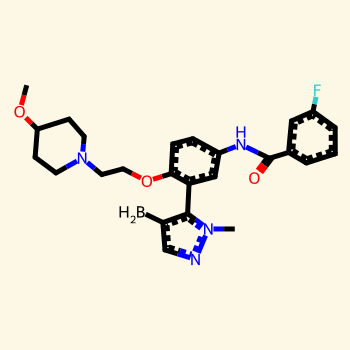 Bc1cnn(C)c1-c1cc(NC(=O)c2cccc(F)c2)ccc1OCCN1CCC(OC)CC1